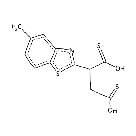 OC(=S)CC(C(O)=S)c1nc2cc(C(F)(F)F)ccc2s1